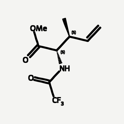 C=C[C@H](C)[C@H](NC(=O)C(F)(F)F)C(=O)OC